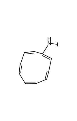 INc1ccccccccc1